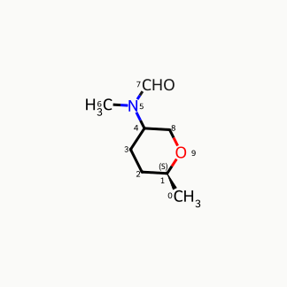 C[C@H]1CCC(N(C)C=O)CO1